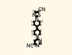 N#Cc1cc(N2CCC(C3CCN(c4ncc(C#N)s4)CC3)CC2)ncn1